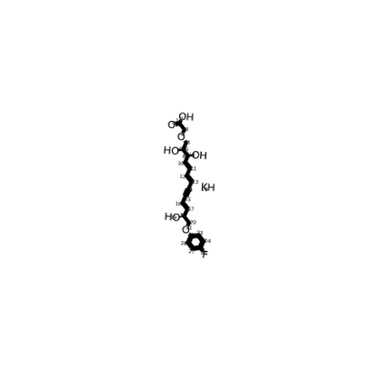 O=C(O)COC[C@H](O)[C@@H](O)C=CC=CC#CC=C[C@@H](O)COc1ccc(F)cc1.[KH]